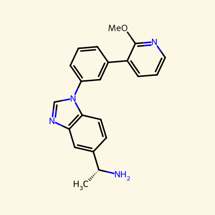 COc1ncccc1-c1cccc(-n2cnc3cc([C@@H](C)N)ccc32)c1